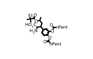 CCCCCC(=O)Oc1ccc(C(CC(C)OC(=O)C(C)(C)CC)[C@H](N)C(=O)O)cc1OC(=O)CCCCC